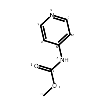 COC(=O)Nc1ccncc1